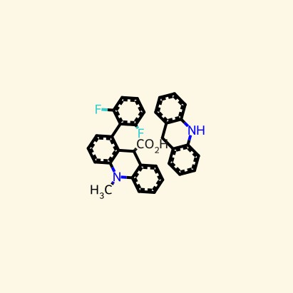 CN1c2ccccc2C(C(=O)O)c2c(-c3c(F)cccc3F)cccc21.c1ccc2c(c1)Cc1ccccc1N2